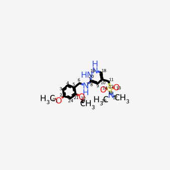 COc1ccc(CNC2=CC(CS(=O)(=O)N(C)C)=CNN2)c(OC)c1